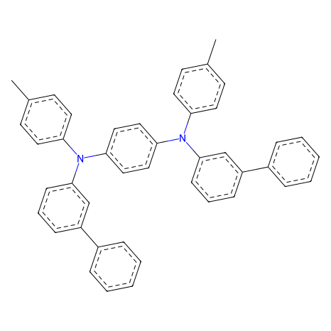 Cc1ccc(N(c2ccc(N(c3ccc(C)cc3)c3cccc(-c4ccccc4)c3)cc2)c2cccc(-c3ccccc3)c2)cc1